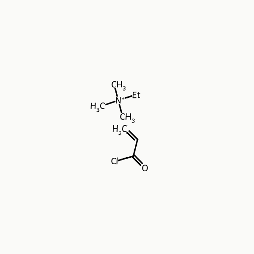 C=CC(=O)Cl.CC[N+](C)(C)C